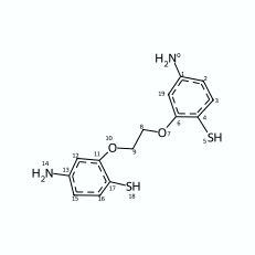 Nc1ccc(S)c(OCCOc2cc(N)ccc2S)c1